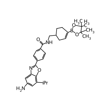 CC(C)c1cc(N)cc2nc(-c3ccc(C(=O)NCC4CC=C(B5OC(C)(C)C(C)(C)O5)CC4)cc3)oc12